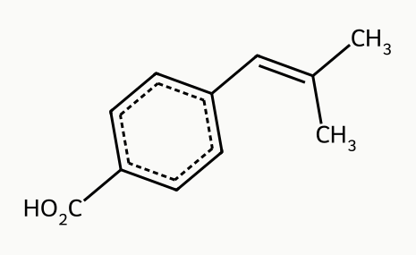 CC(C)=Cc1ccc(C(=O)O)cc1